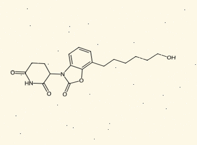 O=C1CCC(n2c(=O)oc3c(CCCCCCO)cccc32)C(=O)N1